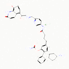 Cl.Cl.NC(=O)Oc1cc(CCCC(=O)Nc2ccc(CNC[C@H](O)c3ccc(O)c4[nH]c(=O)ccc34)nc2)ccc1-c1ccccc1[C@H]1CC[C@H](N)CC1